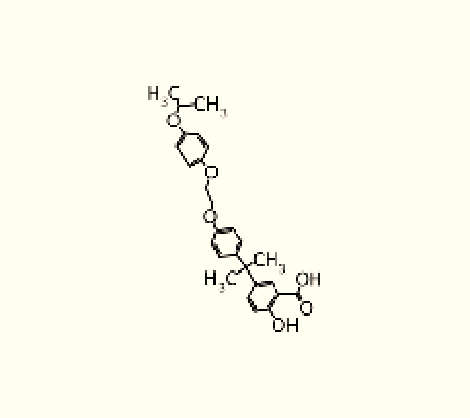 CC(C)Oc1ccc(OCCOc2ccc(C(C)(C)c3ccc(O)c(C(=O)O)c3)cc2)cc1